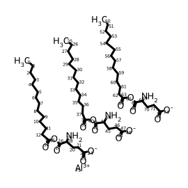 CCCCCCCCCCCCCC(=O)OC(=O)C(N)CCC(=O)[O-].CCCCCCCCCCCCCC(=O)OC(=O)C(N)CCC(=O)[O-].CCCCCCCCCCCCCC(=O)OC(=O)C(N)CCC(=O)[O-].[Al+3]